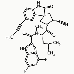 CC#Cc1ccc2c(c1)[C@@]1(C[C@@H](C#N)N(C(=O)[C@H](CC(C)C)N(C)C(=O)c3cc4c(F)cc(F)cc4[nH]3)C1)C(=O)N2